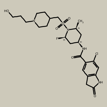 C[C@H]1C[C@@H](NC(=O)c2cc3c(cc2Cl)NC(=O)C3)C[C@@H](F)N1S(=O)(=O)CC1CCN(CCCO)CC1